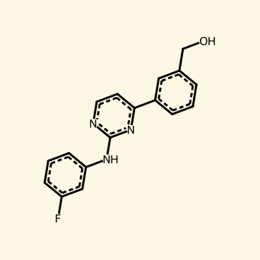 OCc1cccc(-c2ccnc(Nc3cccc(F)c3)n2)c1